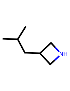 C[C](C)CC1CNC1